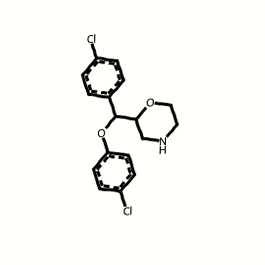 Clc1ccc(OC(c2ccc(Cl)cc2)C2CNCCO2)cc1